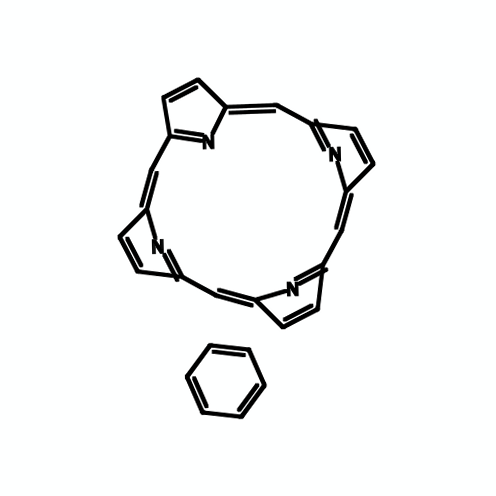 C1=CC2=NC1=CC1=NC(=CC3=NC(=CC4=NC(=C2)C=C4)C=C3)C=C1.c1ccccc1